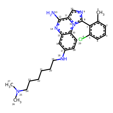 Cc1cccc(Cl)c1-c1ncc2c(N)nc3cc(NCCCCCCN(C)C)ccc3n12